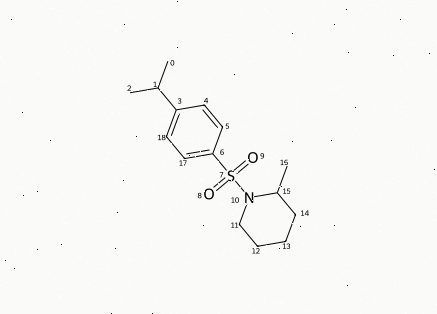 CC(C)c1ccc(S(=O)(=O)N2CCCCC2C)cc1